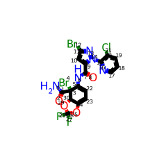 NC(=O)C1(Br)C(NC(=O)c2cc(Br)nn2-c2ncccc2Cl)=CC=C2OC(F)(F)OC21